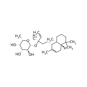 C=C[C@@](C)(CC[C@H]1C(C)=CC[C@H]2C(C)(C)CCC[C@]12C)O[C@H]1O[C@@H](C)[C@@H](O)[C@@H](O)[C@@H]1O